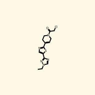 CCn1cnc(-c2cnc(C3=CCN(C(=O)CCl)CC3)s2)n1